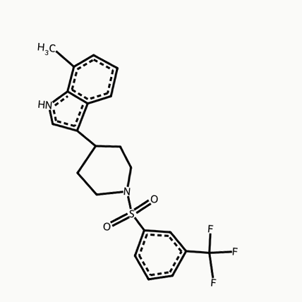 Cc1cccc2c(C3CCN(S(=O)(=O)c4cccc(C(F)(F)F)c4)CC3)c[nH]c12